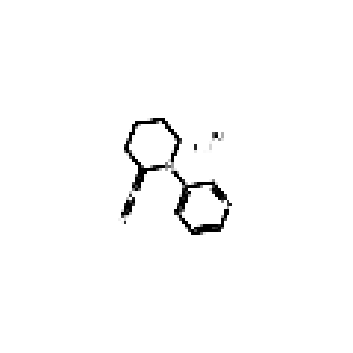 Cl.Cl.O=C=C1CCCCN1c1cccnc1